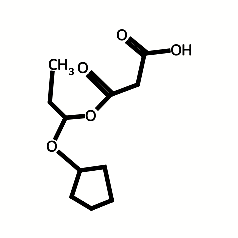 CCC(OC(=O)CC(=O)O)OC1CCCC1